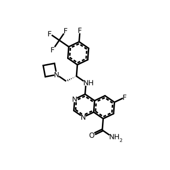 NC(=O)c1cc(F)cc2c(N[C@H](CN3CCC3)c3ccc(F)c(C(F)(F)F)c3)ncnc12